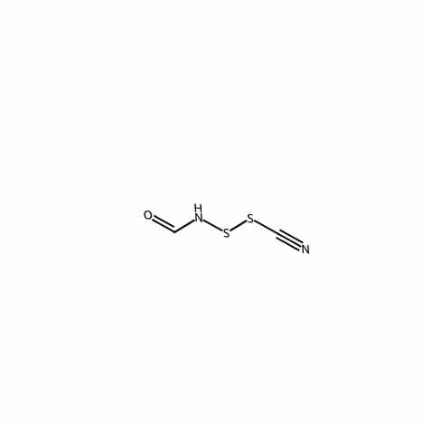 N#CSSNC=O